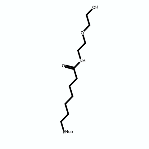 CCCCCCCCCCCCCCCC(=O)NCCOCCO